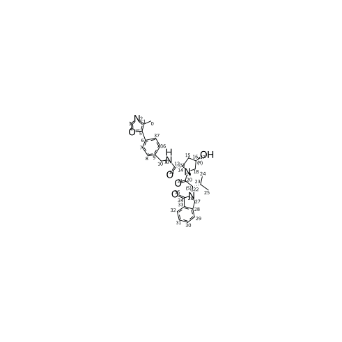 Cc1ncoc1-c1ccc(CNC(=O)[C@@H]2C[C@@H](O)CN2C(=O)[C@H](C(C)C)N2Cc3ccccc3C2=O)cc1